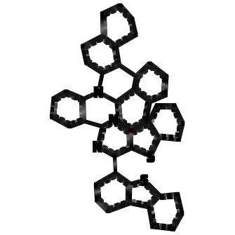 c1ccc(N2c3ccc4ccccc4c3-c3cccc4cccc2c34)c(-c2nc(-c3cccc4c3sc3ccccc34)c3sc4ccccc4c3n2)c1